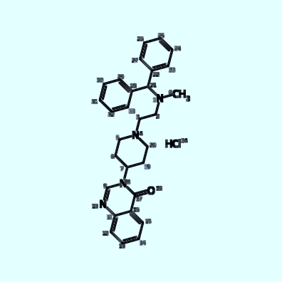 CN(CCN1CCC(n2cnc3ccccc3c2=O)CC1)C(c1ccccc1)c1ccccc1.Cl